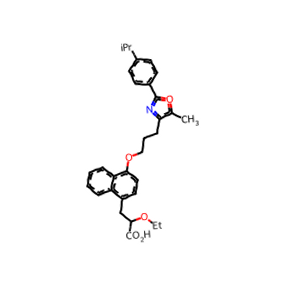 CCOC(Cc1ccc(OCCCc2nc(-c3ccc(C(C)C)cc3)oc2C)c2ccccc12)C(=O)O